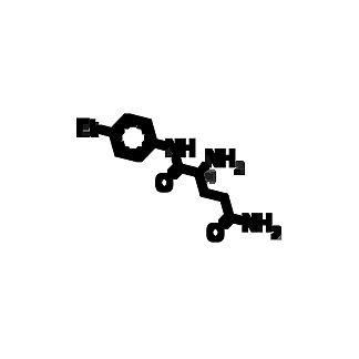 CCc1ccc(NC(=O)[C@@H](N)CCC(N)=O)cc1